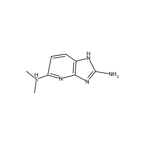 C[SH](C)c1ccc2[nH]c(N)nc2n1